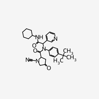 CC(C)(C)c1ccc(N(C(=O)C2CC(=O)CN2C#N)C(C(=O)NC2CCCCC2)c2cccnc2)cc1